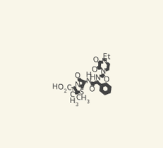 CCN1CCN(C(=O)N[C@@H](C(=O)N[C@@H]2C(=O)N3C2SC(C)(C)[C@@H]3C(=O)O)c2ccccc2)C(=O)C1=O